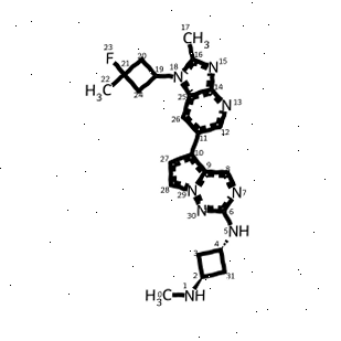 CN[C@H]1C[C@H](Nc2ncc3c(-c4cnc5nc(C)n(C6CC(C)(F)C6)c5c4)ccn3n2)C1